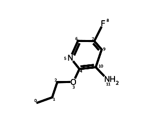 CCCOc1ncc(F)cc1N